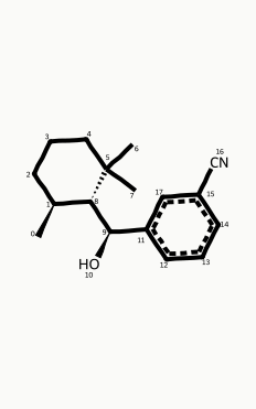 C[C@H]1CCCC(C)(C)[C@@H]1[C@H](O)c1cccc(C#N)c1